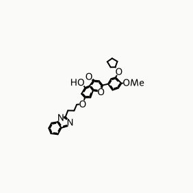 COc1ccc(-c2cc(=O)c3c(O)cc(OCCCc4ncc5ccccc5n4)cc3o2)cc1OC1CCCC1